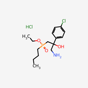 CCCCP(=O)(CC(O)(CN)c1ccc(Cl)cc1)OCC.Cl